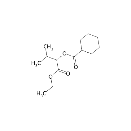 CCOC(=O)[C@@H](OC(=O)C1CCCCC1)C(C)C